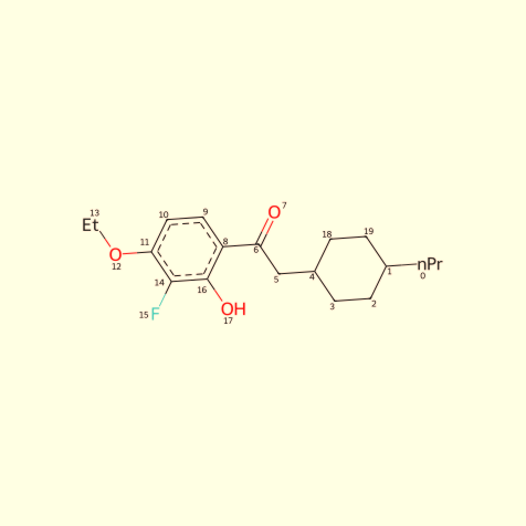 CCCC1CCC(CC(=O)c2ccc(OCC)c(F)c2O)CC1